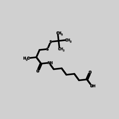 CC(CSSC(C)(C)C)C(=O)NCCCCCC(=O)O